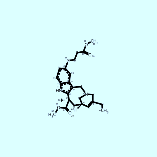 CCC1=C[C@H]2CN(C1)Cc1c([nH]c3ccc(SCCC(=O)OC)cc13)[C@](I)(C(=O)OC)C2